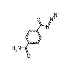 [N-]=[N+]=NC(=O)c1ccc(C(N)=O)cc1